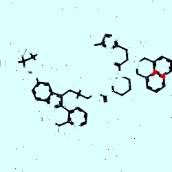 CCn1c(-c2cccnc2[C@H](C)OC)c(CC(C)(C)COC(=O)[C@@H]2CCCN(C(=O)[C@H]([C@H](OC)c3nc(Br)cs3)N(Cc3ccccc3)Cc3ccccc3)N2)c2cc(B3OC(C)(C)C(C)(C)O3)ccc21